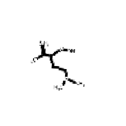 C=C(C)C(CCN(C)C)OO